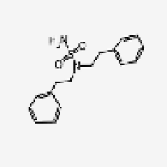 NS(=O)(=O)N(CCc1ccccc1)CCc1ccccc1